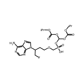 CC(C)OC(=O)OC(OC(=O)OC(C)C)OP(=O)(O)COCCC(CF)n1cnc2c(N)ncnc21